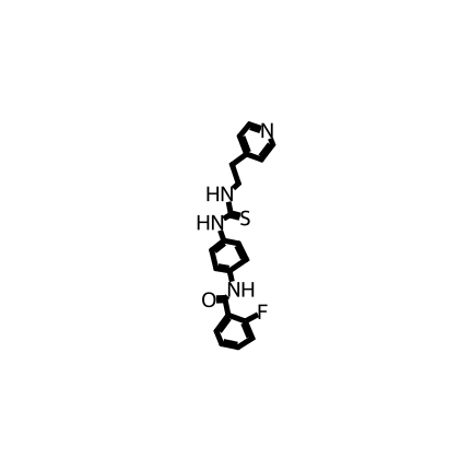 O=C(Nc1ccc(NC(=S)NCCc2ccncc2)cc1)c1ccccc1F